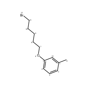 Cc1cccc(OCCCCCBr)c1